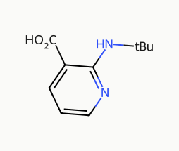 CC(C)(C)Nc1ncccc1C(=O)O